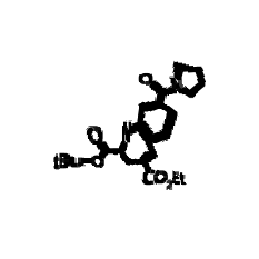 CCOC(=O)C1=Cc2ccc(C(=O)N3CCCC3)cc2N=C(C(=O)OC(C)(C)C)C1